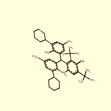 Cc1cc(C2CCCCC2)c(O)c(C(c2cc(C)cc(C3CCCCC3)c2O)c2c(C)cc(C(C)(C)C)c(O)c2C(C)(C)C)c1